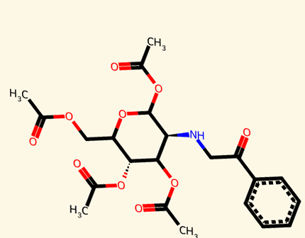 CC(=O)OCC1OC(OC(C)=O)[C@@H](NCC(=O)c2ccccc2)C(OC(C)=O)[C@@H]1OC(C)=O